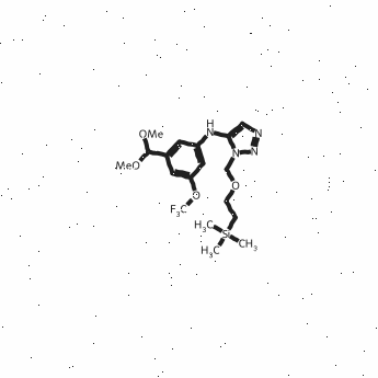 COC(OC)c1cc(Nc2cnnn2COCC[Si](C)(C)C)cc(OC(F)(F)F)c1